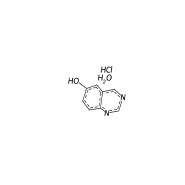 Cl.O.Oc1ccc2ncncc2c1